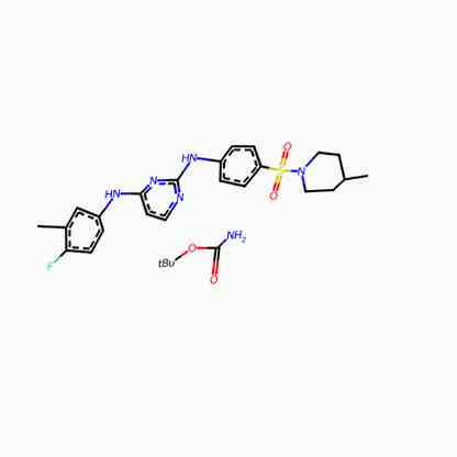 CC(C)(C)OC(N)=O.Cc1cc(Nc2ccnc(Nc3ccc(S(=O)(=O)N4CCC(C)CC4)cc3)n2)ccc1F